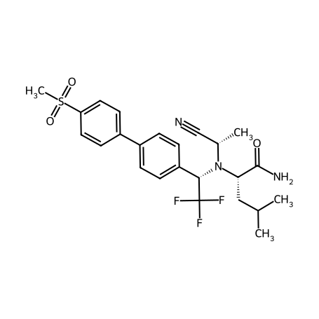 CC(C)C[C@@H](C(N)=O)N([C@@H](c1ccc(-c2ccc(S(C)(=O)=O)cc2)cc1)C(F)(F)F)[C@@H](C)C#N